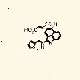 O=C(O)/C=C/C(=O)O.c1csc(CNC2=Nc3cccc4cccc2c34)c1